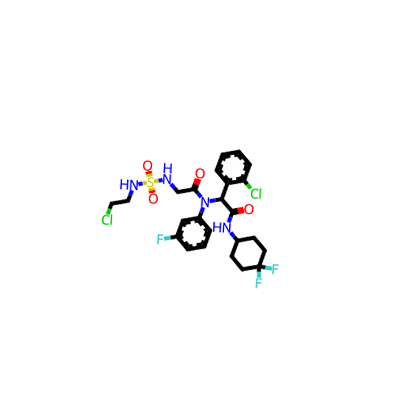 O=C(NC1CCC(F)(F)CC1)C(c1ccccc1Cl)N(C(=O)CNS(=O)(=O)NCCCl)c1cccc(F)c1